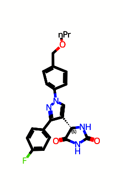 CCCOCc1ccc(-n2cc([C@@H]3NC(=O)NC3=O)c(-c3ccc(F)cc3)n2)cc1